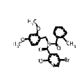 COc1ccc(CN(C(=O)c2ccccc2C)C(=O)c2cc(Br)cnc2Cl)c(OC)c1